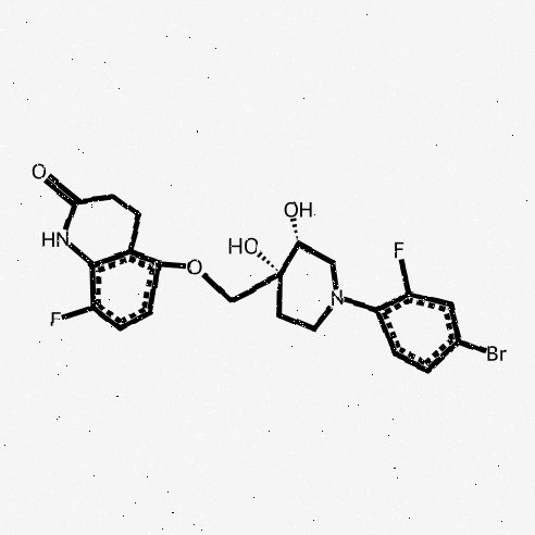 O=C1CCc2c(OC[C@]3(O)CCN(c4ccc(Br)cc4F)C[C@H]3O)ccc(F)c2N1